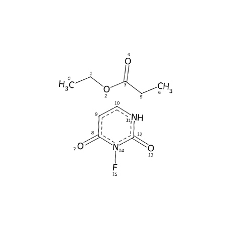 CCOC(=O)CC.O=c1cc[nH]c(=O)n1F